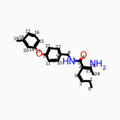 CC/C=C\C(C(=O)NCc1ccc(Oc2cccc(C)c2)cc1)=C(/C)N